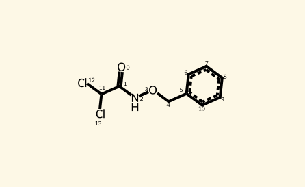 O=C(NOCc1ccccc1)C(Cl)Cl